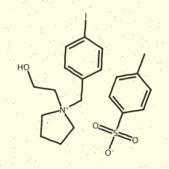 Cc1ccc(S(=O)(=O)[O-])cc1.OCC[N+]1(Cc2ccc(I)cc2)CCCC1